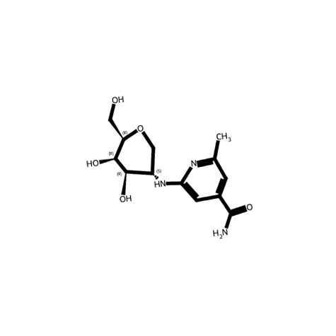 Cc1cc(C(N)=O)cc(N[C@H]2CO[C@H](CO)[C@H](O)[C@@H]2O)n1